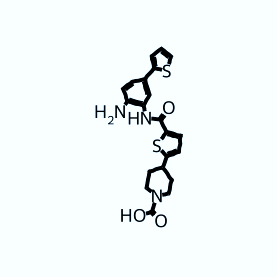 Nc1ccc(-c2cccs2)cc1NC(=O)c1ccc(C2CCN(C(=O)O)CC2)s1